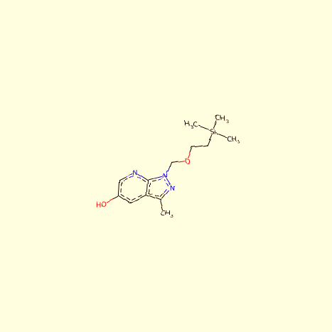 Cc1nn(COCC[Si](C)(C)C)c2ncc(O)cc12